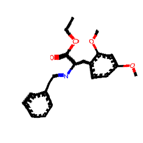 CCOC(=O)C(N=Cc1ccccc1)c1ccc(OC)cc1OC